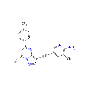 N#Cc1cc(C#Cc2cnn3c(C(F)(F)F)cc(-c4ccc(C(F)(F)F)cc4)nc23)cnc1N